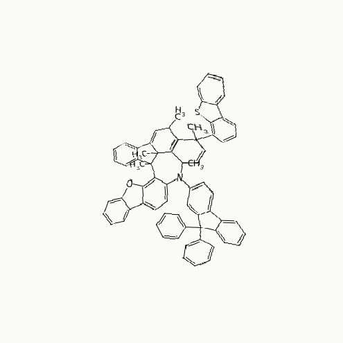 CC1C=C2c3ccccc3C3(C)c4c(ccc5c4oc4ccccc45)N(c4ccc5c(c4)C(c4ccccc4)(c4ccccc4)c4ccccc4-5)C4(C)C=CC(C)(c5cccc6c5sc5ccccc56)C1=C4C23C